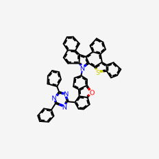 c1ccc(-c2nc(-c3ccccc3)nc(-c3cccc4oc5cc(-n6c7ccc8ccccc8c7c7c8ccccc8c8c9ccccc9sc8c76)ccc5c34)n2)cc1